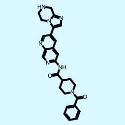 O=C(Nc1cc2cc(-c3cnc4n3CCNC4)cnc2cn1)C1CCN(C(=O)c2ccccc2)CC1